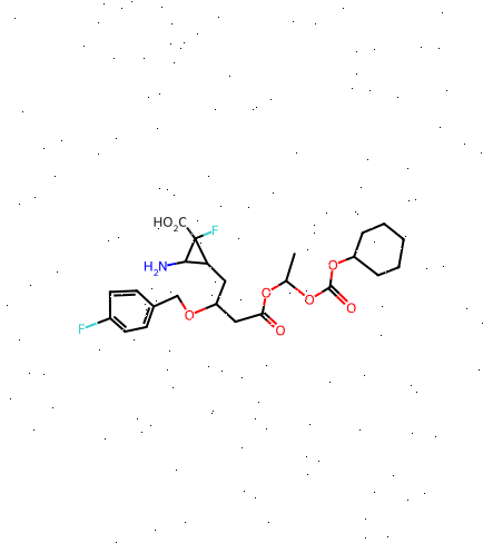 CC(OC(=O)CC(CC1C(N)C1(F)C(=O)O)OCc1ccc(F)cc1)OC(=O)OC1CCCCC1